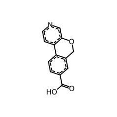 O=C(O)c1ccc2c(c1)COc1cnccc1-2